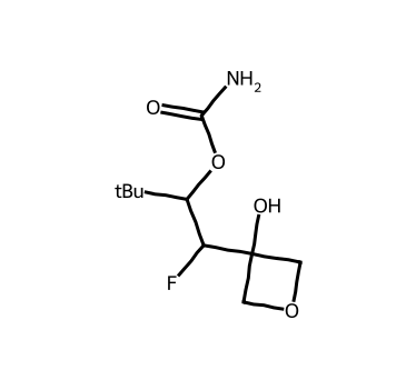 CC(C)(C)C(OC(N)=O)C(F)C1(O)COC1